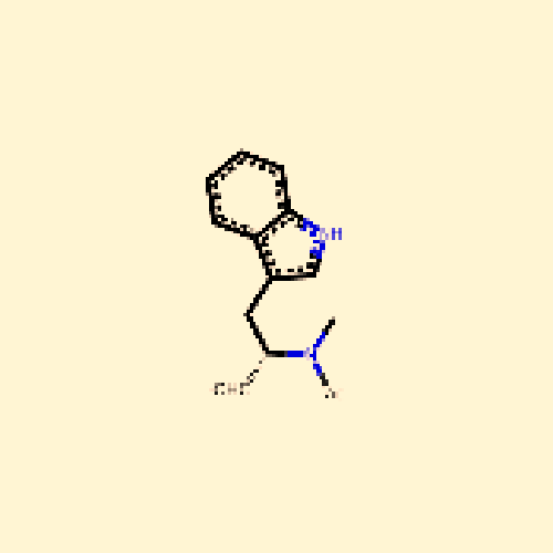 CC(=O)N(C)[C@H]([C]=O)Cc1c[nH]c2ccccc12